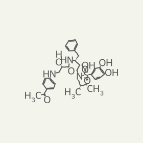 CC[C@H](C)CN(C[C@@H](O)[C@H](Cc1ccccc1)NC(=O)[C@@H](O)CNc1ccc(C(C)=O)cc1)S(=O)(=O)c1ccc(O)c(O)c1